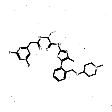 CCC[C@H](NC(=O)Cc1cc(F)cc(F)c1)C(=O)Nc1nc(C)c(-c2ccccc2COC2CCN(C)CC2)s1